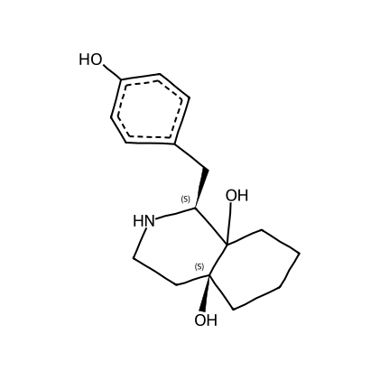 Oc1ccc(C[C@@H]2NCC[C@@]3(O)CCCCC23O)cc1